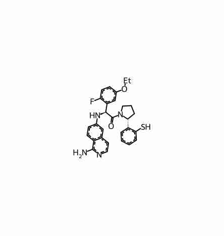 CCOc1ccc(F)c([C@H](Nc2ccc3c(N)nccc3c2)C(=O)N2CCC[C@@H]2c2ccccc2S)c1